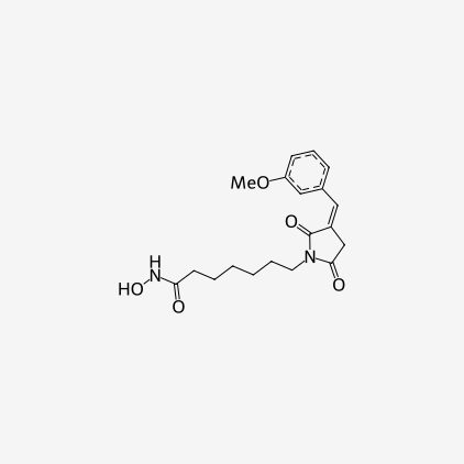 COc1cccc(C=C2CC(=O)N(CCCCCCC(=O)NO)C2=O)c1